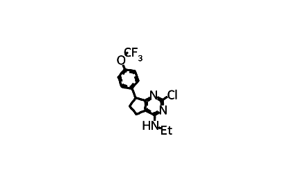 CCNc1nc(Cl)nc2c1CCC2c1ccc(OC(F)(F)F)cc1